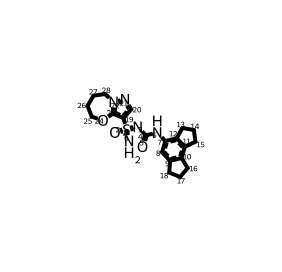 NS(=O)(=NC(=O)Nc1cc2c(c3c1CCC3)CCC2)c1cnn2c1OCCCC2